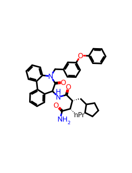 CCC[C@H](C(N)=O)[C@@H](CC1CCCC1)C(=O)NC1C(=O)N(Cc2cccc(Oc3ccccc3)c2)c2ccccc2-c2ccccc21